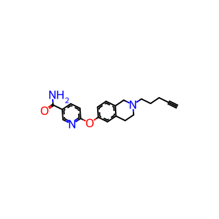 C#CCCCN1CCc2cc(Oc3ccc(C(N)=O)cn3)ccc2C1